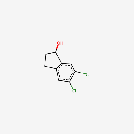 O[C@@H]1CCc2cc(Cl)c(Cl)cc21